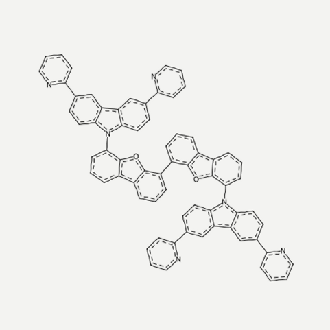 c1ccc(-c2ccc3c(c2)c2cc(-c4ccccn4)ccc2n3-c2cccc3c2oc2c(-c4cccc5c4oc4c(-n6c7ccc(-c8ccccn8)cc7c7cc(-c8ccccn8)ccc76)cccc45)cccc23)nc1